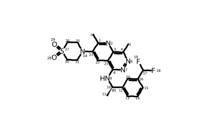 Cc1nc2c(C)nnc(N[C@H](C)c3cccc(C(F)F)c3)c2cc1N1CCS(=O)(=O)CC1